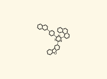 c1ccc2cc(-c3ccc(-c4nc(-c5ccc6oc7ccccc7c6c5)nc(-c5cccc6ccc7ccccc7c56)n4)cc3)ccc2c1